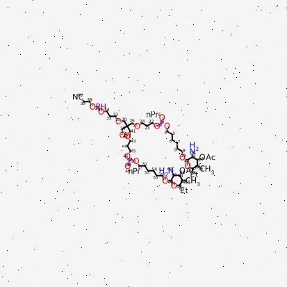 CCCOP(OCCCCCCO[C@@H]1OC(CC)[C@H](C)C(OC(C)=O)C1N)OCCCOCC(CO)(COCCCOPOCCC#N)COCCCOP(OCCC)OCCCCCCO[C@@H]1OC(CC)[C@H](C)C(OC(C)=O)C1N